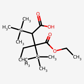 CCOC(=O)C(CC)(C(C(=O)O)[Si](C)(C)C)[Si](C)(C)C